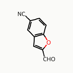 N#Cc1ccc2oc(C=O)cc2c1